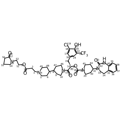 O=C(CCN1CCC(C2CCN(C(=O)[C@@H](Cc3cc(Cl)c(O)c(C(F)(F)F)c3)OC(=O)N3CCC(N4CCc5ccccc5NC4=O)CC3)CC2)CC1)OCCN1CCCC1=O